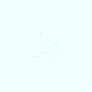 CCCC[P+]1(CCCC)CCCC1.[Cl-]